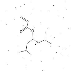 C=CC(=O)OC(CC(C)C)CC(C)C